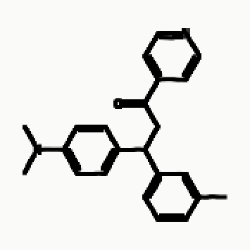 Cc1cccc(C(CC(=O)c2ccncc2)c2ccc(N(C)C)cc2)c1